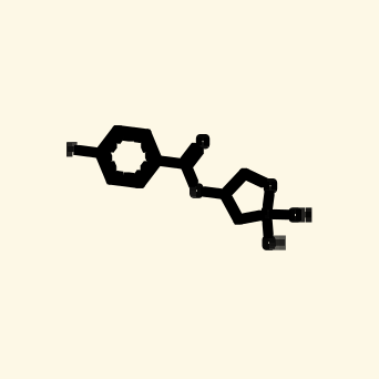 O=C(OC1COS(O)(O)C1)c1ccc(F)cc1